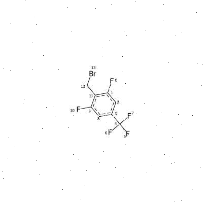 Fc1cc(C(F)(F)F)cc(F)c1CBr